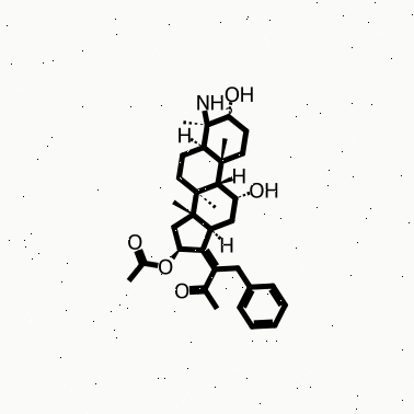 CC(=O)O[C@H]1C[C@@]2(C)[C@@H](C[C@@H](O)[C@H]3[C@@]4(C)CC[C@@H](O)[C@](C)(N)[C@@H]4CC[C@@]32C)/C1=C(\Cc1ccccc1)C(C)=O